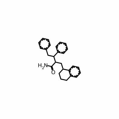 NC(=O)C(CC1CCCc2ccccc21)C(Cc1ccccc1)c1ccccc1